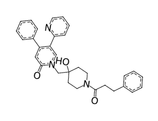 O=C(CCc1ccccc1)N1CCC(O)(Cn2cc(-c3ccccn3)c(-c3ccccc3)cc2=O)CC1